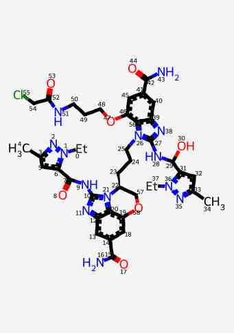 CCn1nc(C)cc1C(=O)Nc1nc2cc(C(N)=O)cc3c2n1[C@@H](CCCn1c(NC(O)c2cc(C)nn2CC)nc2cc(C(N)=O)cc(OCCCNC(=O)CCl)c21)CO3